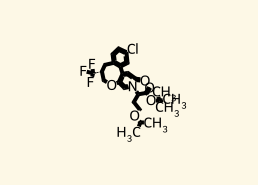 CC(C)OCCC(C(=O)OC(C)(C)C)n1cc2c(cc1=O)-c1cc(Cl)ccc1C[C@@H](C(F)(F)F)CO2